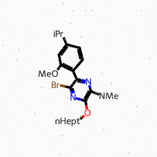 CCCCCCCOc1nc(Br)c(-c2ccc(C(C)C)cc2OC)nc1NC